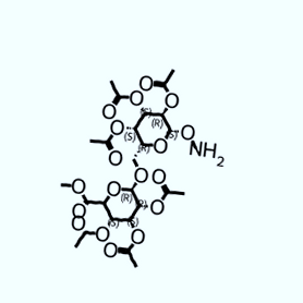 COC(=O)C1O[C@@H](OC[C@H]2O[C@@H](ON)[C@H](OC(C)=O)[C@@H](OC(C)=O)[C@H]2OC(C)=O)[C@H](OC(C)=O)[C@@H](OC(C)=O)[C@@H]1OC(C)=O